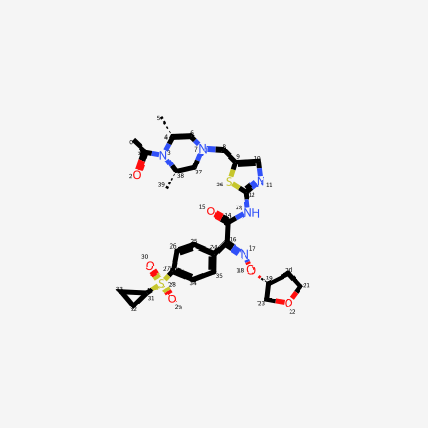 CC(=O)N1[C@H](C)CN(Cc2cnc(NC(=O)/C(=N/O[C@@H]3CCOC3)c3ccc(S(=O)(=O)C4CC4)cc3)s2)C[C@@H]1C